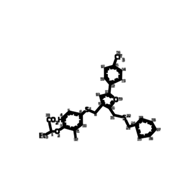 CCC(Oc1ccc(SCc2cc(-c3ccc(C(F)(F)F)cc3)oc2CSCc2ccccc2)cc1C)C(=O)O